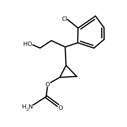 NC(=O)OC1CC1C(CCO)c1ccccc1Cl